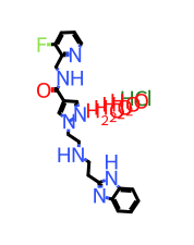 Cl.O.O.O.O.O=C(NCc1ncccc1F)c1cnn(CCNCCc2nc3ccccc3[nH]2)c1